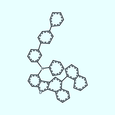 c1ccc(-c2ccc(-c3cccc(N(c4ccccc4)c4cccc5oc6c7ccccc7c(-c7cccc8ccccc78)cc6c45)c3)cc2)cc1